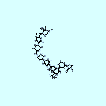 CN1CCN(C2CCCN(c3c(F)cc(C(N)=O)c4[nH]c(-c5ccc(C6CCN(CC7CCN(c8ccc(NC9CCC(=O)NC9=O)cc8)CC7)CC6)cc5)cc34)C2)C1=O